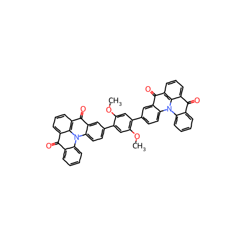 COc1cc(-c2ccc3c(c2)c(=O)c2cccc4c(=O)c5ccccc5n3c42)c(OC)cc1-c1ccc2c(c1)c(=O)c1cccc3c(=O)c4ccccc4n2c31